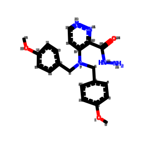 COc1ccc(CN(Cc2ccc(OC)cc2)c2ccnnc2C(=O)NN)cc1